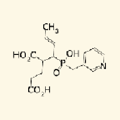 CC=CC(C(CCC(=O)O)C(=O)O)P(=O)(O)Cc1cccnc1